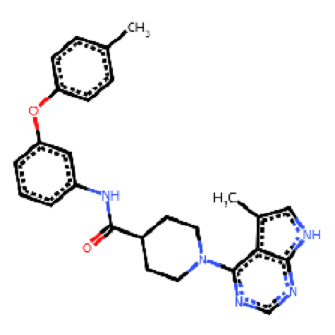 Cc1ccc(Oc2cccc(NC(=O)C3CCN(c4ncnc5[nH]cc(C)c45)CC3)c2)cc1